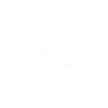 O=Ic1cc2ccccc2c(C(=O)O)c1S(=O)(=O)O